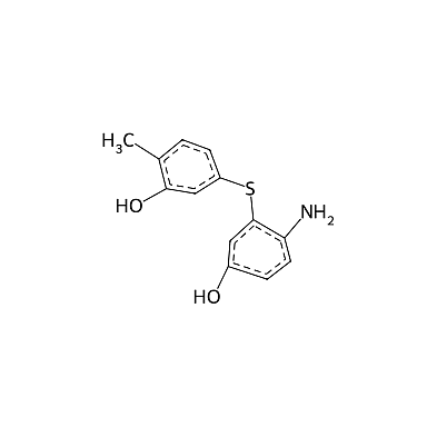 Cc1ccc(Sc2cc(O)ccc2N)cc1O